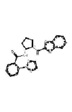 O=C(N[C@@H]1CCC[C@@H]1Nc1nc2ccccc2o1)c1ccccc1-n1nccn1